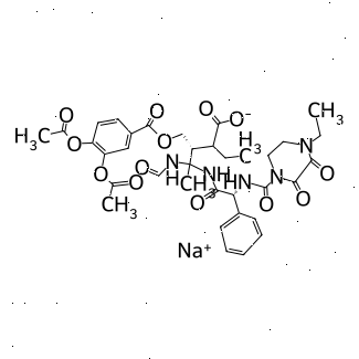 CCC(C(=O)[O-])[C@@H](COC(=O)c1ccc(OC(C)=O)c(OC(C)=O)c1)C(C)(NC=O)NC(=O)[C@H](NC(=O)N1CCN(CC)C(=O)C1=O)c1ccccc1.[Na+]